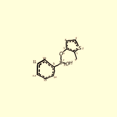 Cc1sccc1OB(O)c1ccccc1